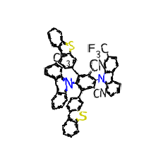 N#Cc1c(-c2ccc3c(c2)sc2ccccc23)c(-n2c3ccccc3c3ccc(C(F)(F)F)cc32)c(-c2ccc3c(c2)sc2ccccc23)c(C#N)c1-n1c2ccccc2c2ccc(C(F)(F)F)cc21